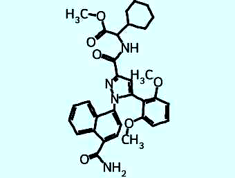 COC(=O)C(NC(=O)c1cc(-c2c(OC)cccc2OC)n(-c2ccc(C(N)=O)c3ccccc23)n1)C1CCCCC1